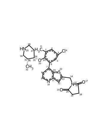 Cc1cc(Cl)cc(-c2ccnc3cc(CN4C(=O)CCC4=O)sc23)c1O[C@H]1CCNC[C@H]1C